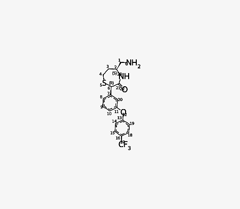 NC[C@@H]1CCS[C@H](c2cccc(Oc3ccc(C(F)(F)F)cc3)c2)C(=O)N1